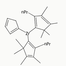 CCCC1=[C]([Zr]([C]2=CC=CC2)[C]2=C(CCC)C(C)=C(C)C2(C)C)C(C)(C)C(C)=C1C